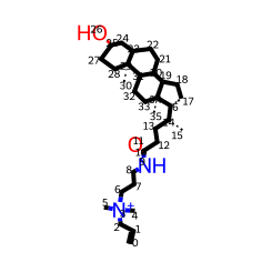 C=CC[N+](C)(C)CCCNC(=O)CC[C@@H](C)[C@H]1CCC2C3CCC4C[C@H](O)CC[C@]4(C)C3CC[C@@]21C